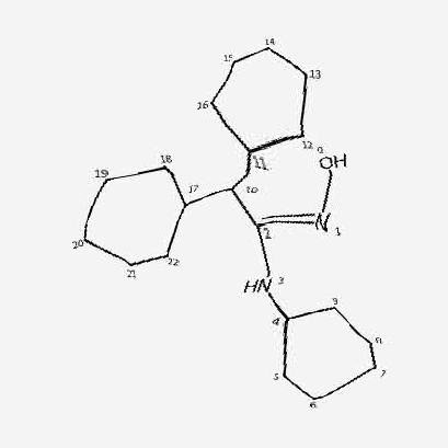 ON=C(NC1CCCCC1)C(C1CCCCC1)C1CCCCC1